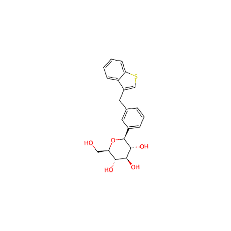 OC[C@H]1O[C@@H](c2cccc(Cc3csc4ccccc34)c2)[C@H](O)[C@@H](O)[C@@H]1O